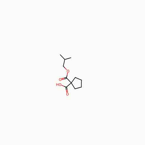 CC(C)COC(=O)C1(C(=O)O)CCCC1